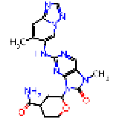 Cc1cc2ncnn2cc1Nc1ncc2c(n1)n(C1CC(C(N)=O)CCO1)c(=O)n2C